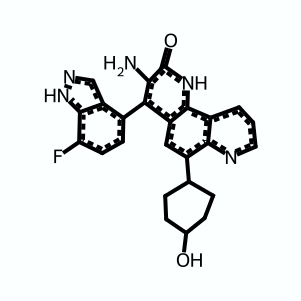 Nc1c(-c2ccc(F)c3[nH]ncc23)c2cc(C3CCC(O)CC3)c3ncccc3c2[nH]c1=O